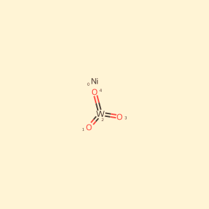 [Ni].[O]=[W](=[O])=[O]